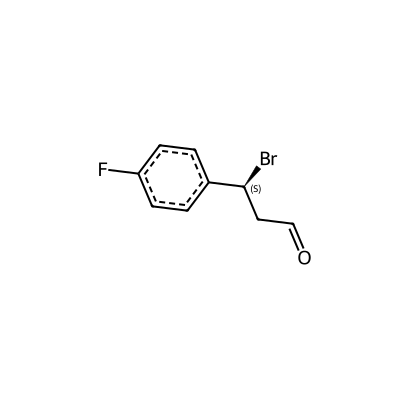 O=CC[C@H](Br)c1ccc(F)cc1